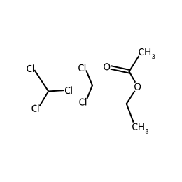 CCOC(C)=O.ClC(Cl)Cl.ClCCl